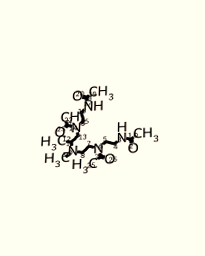 CC(=O)NCCN(CCN(C)C(C)CN(CCNC(C)=O)C(C)=O)C(C)=O